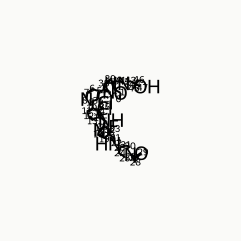 COc1nc(-c2ccnc(-c3cccc(Nc4nccc(CNC5CCN(C(C)=O)CC5)c4F)c3Cl)c2Cl)ccc1CNCC(C)(C)O